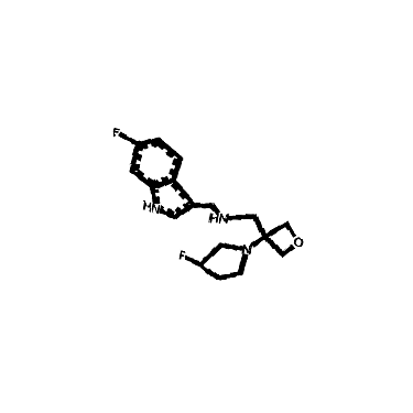 Fc1ccc2c(CNCC3(N4CCC(F)C4)COC3)c[nH]c2c1